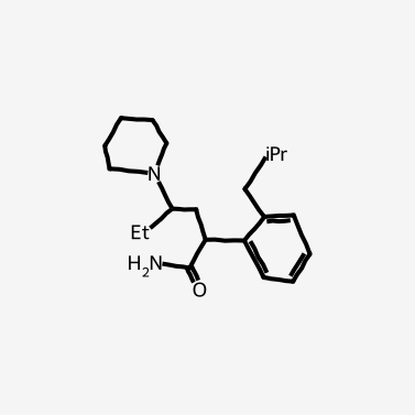 CCC(CC(C(N)=O)c1ccccc1CC(C)C)N1CCCCC1